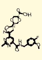 COc1cc(CNC(=O)c2cc(C3=NO[C@H]([C@@H]4CO[C@@H](C(=O)O)CO4)C3)nc(C)n2)ccc1F